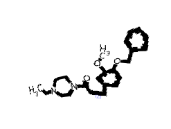 CCN1CCN(C(=O)/C=C\c2ccc(OCc3ccccc3)c(OC)c2)CC1